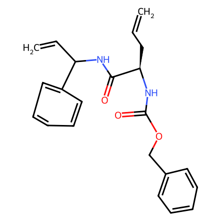 C=CC[C@@H](NC(=O)OCc1ccccc1)C(=O)NC(C=C)c1ccccc1